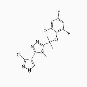 Cn1cc(-c2nnc(C(C)(C)Oc3c(F)cc(F)cc3F)n2C)c(Cl)n1